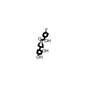 O=C(C(O)c1ccc(F)cc1)N1CCC(c2ccc(O)cc2O)CC1